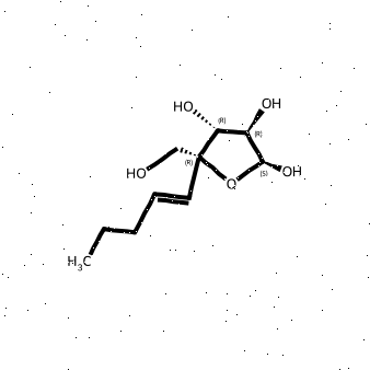 CCCC=C[C@]1(CO)O[C@H](O)[C@H](O)[C@H]1O